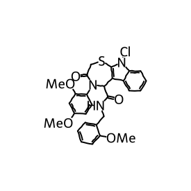 COc1ccc(N2C(=O)CSc3c(c4ccccc4n3Cl)C2C(=O)NCc2ccccc2OC)c(OC)c1